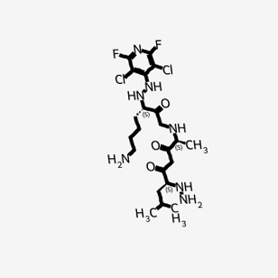 CC(C)C[C@H](NN)C(=O)CC(=O)[C@H](C)NCC(=O)[C@H](CCCCN)NNc1c(Cl)c(F)nc(F)c1Cl